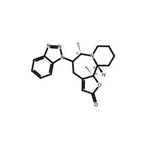 C[C@H]1C(n2nnc3ccccc32)CC2=CC(=O)O[C@]2(C)[C@H]2CCCCN12